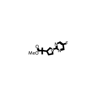 COC(=O)C(C)(C)C1CCN(c2ncc(F)cn2)C1